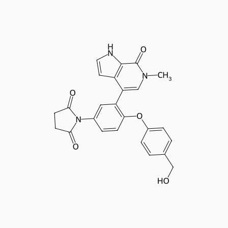 Cn1cc(-c2cc(N3C(=O)CCC3=O)ccc2Oc2ccc(CO)cc2)c2cc[nH]c2c1=O